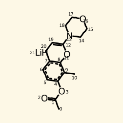 CC(=O)Oc1ccc2c(c1C)OC(N1CCOCC1)=CC2.[LiH]